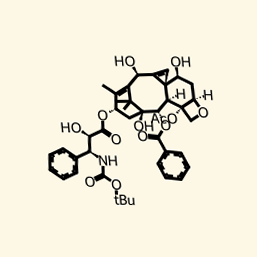 CC(=O)O[C@@]12CO[C@@H]1C[C@H](O)[C@@]13C=C1[C@H](O)C1=C(C)[C@@H](OC(=O)[C@H](O)[C@@H](NC(=O)OC(C)(C)C)c4ccccc4)C[C@@](O)([C@@H](OC(=O)c4ccccc4)[C@H]23)C1(C)C